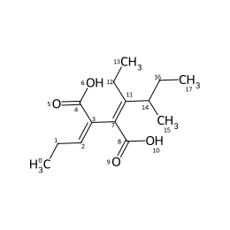 CCC=C(C(=O)O)C(C(=O)O)=C(CC)C(C)CC